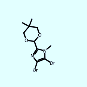 Cn1c(C2OCC(C)(C)CO2)nc(Br)c1Br